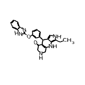 CCc1[nH]cc2c1NC1=C(C(=O)CNC1)C2c1cccc(Oc2nc3ccccc3[nH]2)c1